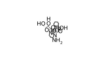 Nc1ccn([C@@H]2O[C@H](CO)[C@@H](O)[C@H]2O)c(=O)n1.O=P(O)(O)c1ccccc1